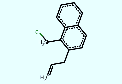 C=CCc1ccc2ccccc2c1[SiH2]Cl